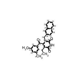 CCc1c(C(=O)c2cc(C)cc(C)c2)n(Cc2ccc3ccccc3c2)c(=O)[nH]c1=O